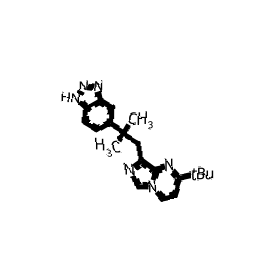 CC(C)(C)c1ccn2cnc(CC(C)(C)c3ccc4[nH]nnc4c3)c2n1